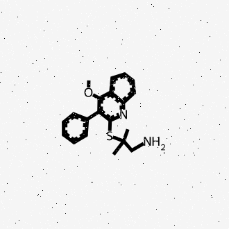 COc1c(-c2ccccc2)c(SC(C)(C)CN)nc2ccccc12